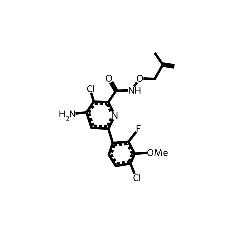 C=C(C)CONC(=O)c1nc(-c2ccc(Cl)c(OC)c2F)cc(N)c1Cl